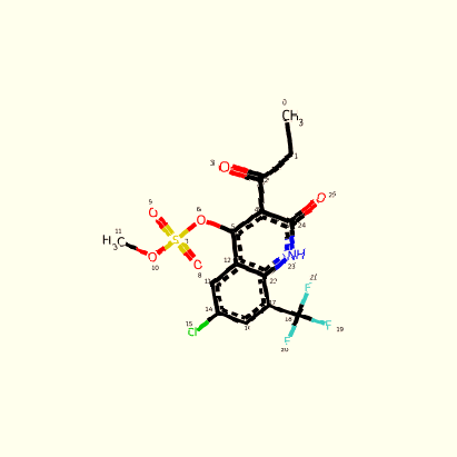 CCC(=O)c1c(OS(=O)(=O)OC)c2cc(Cl)cc(C(F)(F)F)c2[nH]c1=O